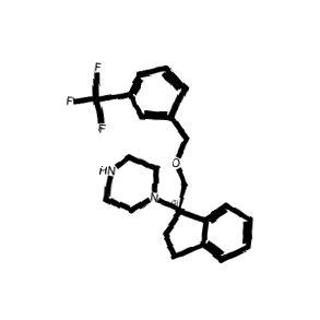 FC(F)(F)c1cccc(COC[C@]2(N3CCNCC3)CCc3ccccc32)c1